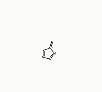 C=[N+]1C=NN=N1